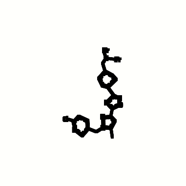 Cc1cc(-c2nc(-c3ccc(CN(C(C)C)C(C)C)cc3)no2)nn1Cc1ccc(Cl)nc1